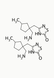 CC1CCC(CN)(Cc2nsc(=O)[nH]2)C1.CC1CCC(CN)(Cc2nsc(=O)[nH]2)C1